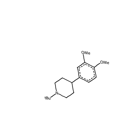 COc1ccc(C2CCN(C(C)(C)C)CC2)cc1OC